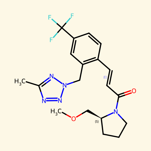 COC[C@@H]1CCCN1C(=O)/C=C/c1ccc(C(F)(F)F)cc1Cn1nnc(C)n1